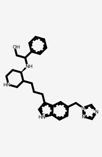 OCC(N[C@@H]1CCNCC1CCCc1c[nH]c2ccc(Cn3cncn3)cc12)c1ccccc1